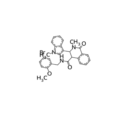 COc1ccc(Br)cc1CNC(=O)C1c2ccccc2C(=O)N(C)C1c1cn(C)c2ccccc12